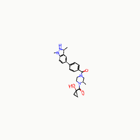 CC1NN(C)c2ccc(-c3ccc(C(=O)N4CCN(C(=O)C5(O)CC5)C(C)C4)cc3)cc21